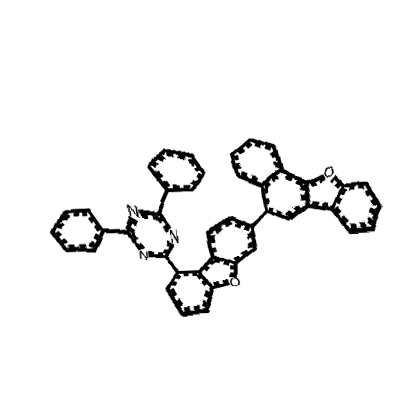 c1ccc(-c2nc(-c3ccccc3)nc(-c3cccc4oc5cc(-c6cc7c8ccccc8oc7c7ccccc67)ccc5c34)n2)cc1